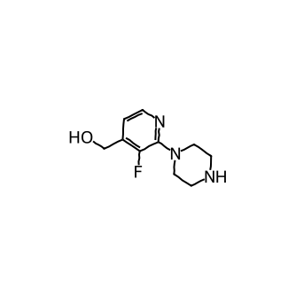 OCc1ccnc(N2CCNCC2)c1F